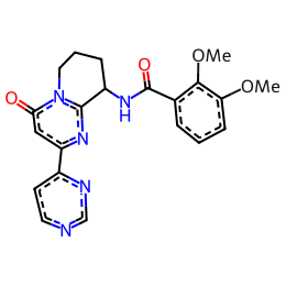 COc1cccc(C(=O)NC2CCCn3c2nc(-c2ccncn2)cc3=O)c1OC